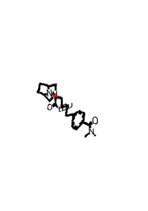 CN(C)C(=O)c1ccc(CCCCN2CC3CCC(C2)N3CC(=O)C(C)(C)C)cc1